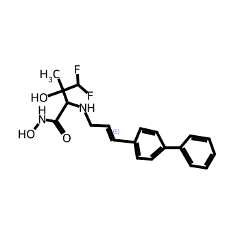 CC(O)(C(F)F)C(NC/C=C/c1ccc(-c2ccccc2)cc1)C(=O)NO